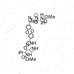 COC(=O)N[C@H](C(=O)C1CCN[C@H]1c1ncc(-c2ccc3c(c2)Oc2ccc(-c4cnc([C@@H]5CCCN5C(=O)[C@@H](NC(=O)OC)C(C)C)[nH]4)cc2O3)[nH]1)C(C)C